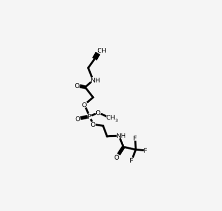 C#CCNC(=O)COP(=O)(OC)OCCNC(=O)C(F)(F)F